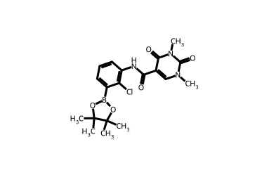 Cn1cc(C(=O)Nc2cccc(B3OC(C)(C)C(C)(C)O3)c2Cl)c(=O)n(C)c1=O